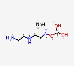 NCCNCCNOB(O)O.[NaH]